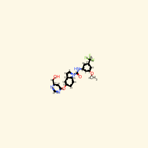 COc1cc(NC(=O)n2ccc3cc(Oc4cc(CO)ncn4)ccc32)cc(C(F)(F)F)c1